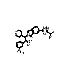 O=C1c2cc(-c3nnc(C(F)F)o3)ccc2CN1C(C1CCOCC1)C(O)c1cccc(C(F)(F)F)c1